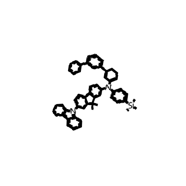 CC1(C)c2cc(N(C3=CCCC(c4cccc(-c5ccccc5)c4)=C3)c3ccc([Si](C)(C)C)cc3)ccc2-c2ccc(-n3c4ccccc4c4ccccc43)cc21